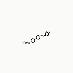 CCCCCC1CCC(C2CCC(CCc3ccc(F)c(F)c3)CC2)CC1